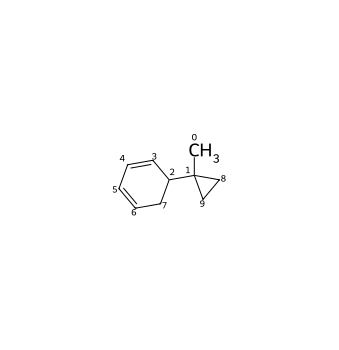 CC1(C2C=CC=CC2)CC1